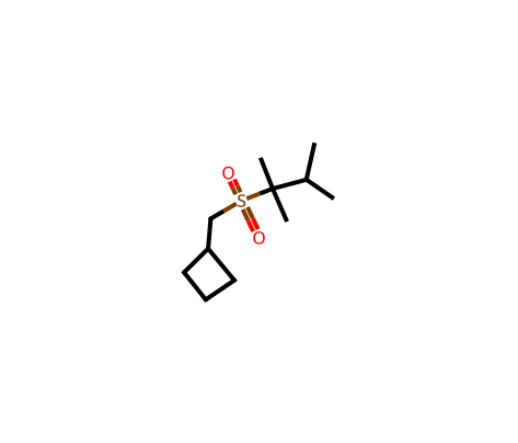 CC(C)C(C)(C)S(=O)(=O)CC1CCC1